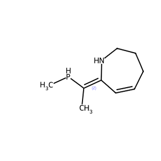 CP/C(C)=C1/C=CCCCN1